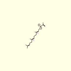 C=C(C)C(=O)OC/C=C(\C)CC/C=C(\C)CCC=C(C)C